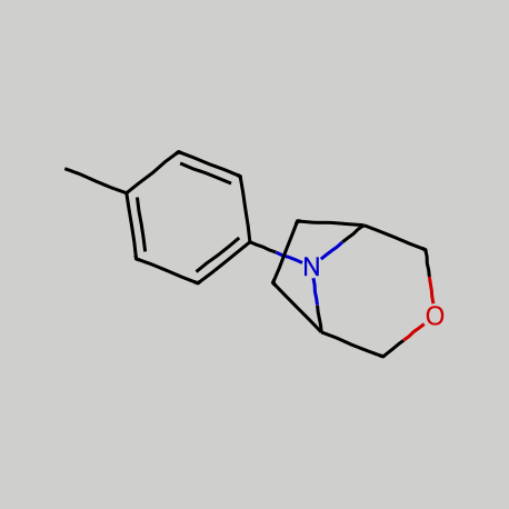 Cc1ccc(N2C3CCC2COC3)cc1